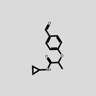 CC(Oc1ccc(C=O)cc1)C(=O)NC1CC1